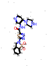 O=C(Nc1cnccc1N1CCNCC1)c1nnc(N2Cc3ccccc3S2(=O)=O)s1